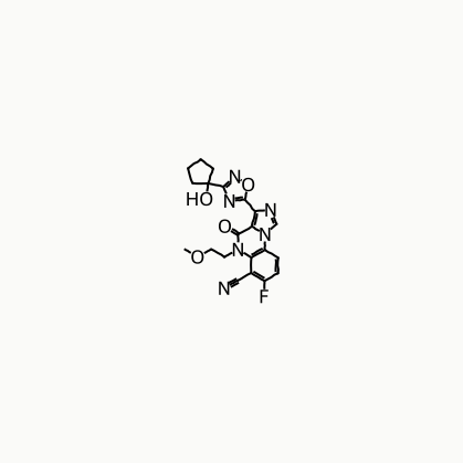 COCCn1c(=O)c2c(-c3nc(C4(O)CCCC4)no3)ncn2c2ccc(F)c(C#N)c21